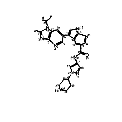 Cc1nc2ncc(-c3c[nH]c4ncc(C(=O)Nc5cnn(C6CCNCC6)c5)cc34)cc2n1C(C)C